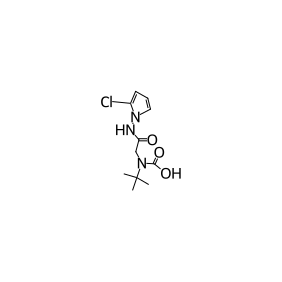 CC(C)(C)N(CC(=O)Nn1cccc1Cl)C(=O)O